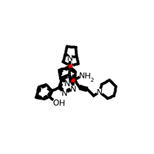 Nc1nnc(-c2ccccc2O)cc1N1CC2CCC(C1)N2c1ccnc(C#CCN2CCCCC2)c1